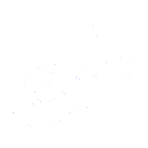 c1ccc(-c2cc(-c3ccccc3)cc(N3c4ccccc4-n4c5c3cccc5c3ccc5c6ccccc6n(-c6ccccc6)c5c34)c2)cc1